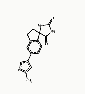 Cn1cc(-c2ccc3c(c2)CCC32NC(=O)NC2=O)cn1